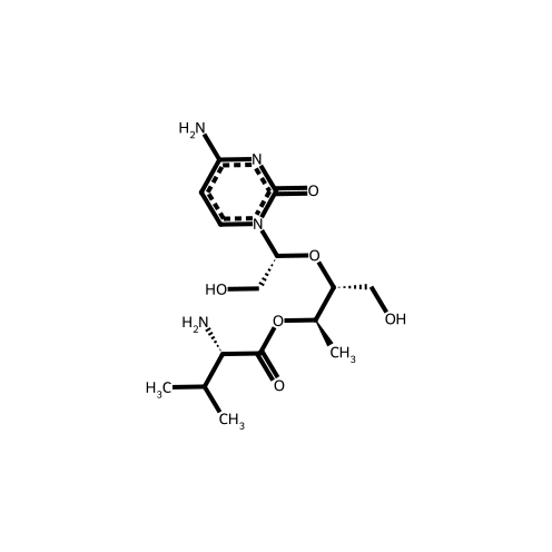 CC(C)[C@H](N)C(=O)O[C@H](C)[C@@H](CO)O[C@H](CO)n1ccc(N)nc1=O